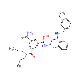 CCCC(CCC)C(=O)c1cc(C(N)=O)cc(C(=O)N[C@@H](Cc2ccccc2)[C@H](O)CNCc2cccc(CC)c2)c1